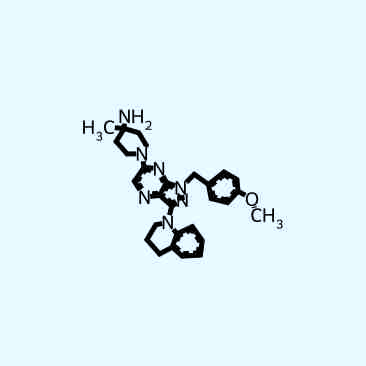 COc1ccc(Cn2nc(N3CCCc4ccccc43)c3ncc(N4CCC(C)(N)CC4)nc32)cc1